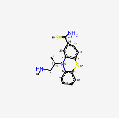 CNC[C@@H](C)N1c2ccccc2Sc2ccc(C(N)=S)cc21